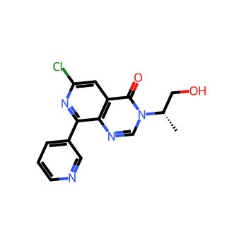 C[C@@H](CO)n1cnc2c(-c3cccnc3)nc(Cl)cc2c1=O